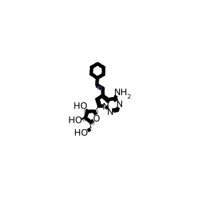 Nc1ncnn2c([C@@H]3O[C@H](CO)[C@@H](O)[C@H]3O)cc(/C=C/C3CCCCC3)c12